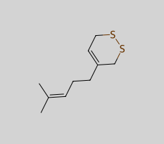 CC(C)=CCCC1=CCSSC1